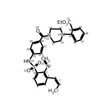 C=Nc1c(/C=C\C)cccc1S(=O)(=O)Nc1ccc(C(=O)N2CCN(c3ccccc3C(=O)OCC)CC2)cc1